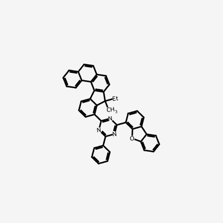 CCC1(C)c2ccc3ccc4ccccc4c3c2-c2cccc(-c3nc(-c4ccccc4)nc(-c4cccc5c4oc4ccccc45)n3)c21